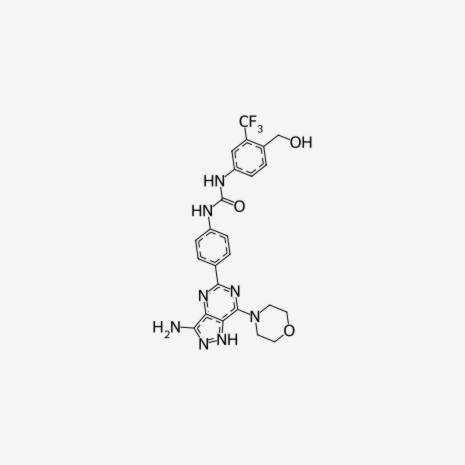 Nc1n[nH]c2c(N3CCOCC3)nc(-c3ccc(NC(=O)Nc4ccc(CO)c(C(F)(F)F)c4)cc3)nc12